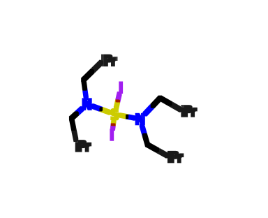 CC(C)CN(CC(C)C)S(I)(I)N(CC(C)C)CC(C)C